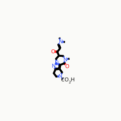 CN(C)C=CC(=O)C1CN(C)C(=O)c2c3c(nn2C1)CCN(C(=O)O)C3